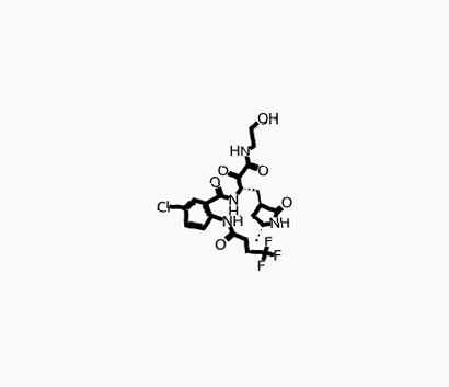 C[C@@H]1C[C@@H](C[C@H](NC(=O)c2cc(Cl)ccc2NC(=O)CCC(F)(F)F)C(=O)C(=O)NCCO)C(=O)N1